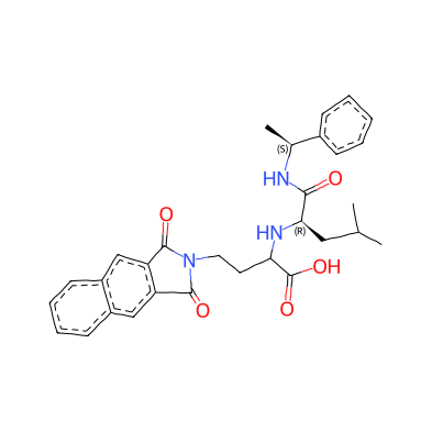 CC(C)C[C@@H](NC(CCN1C(=O)c2cc3ccccc3cc2C1=O)C(=O)O)C(=O)N[C@@H](C)c1ccccc1